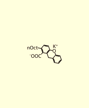 CCCCCCCCc1ccc2c(c1C(=O)[O-])Cc1ccccc1O2.[K+]